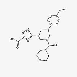 CCc1ccc(C2CC(c3nc(C(=O)O)cs3)CN(C(=O)N3CCOCC3)C2)cc1